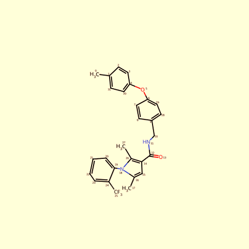 Cc1ccc(Oc2ccc(CNC(=O)c3cc(C)n(-c4ccccc4C(F)(F)F)c3C)cc2)cc1